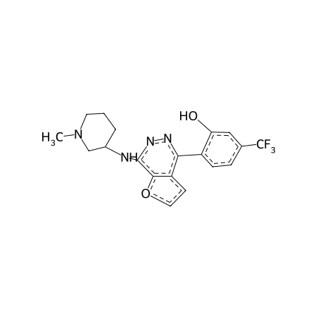 CN1CCCC(Nc2nnc(-c3ccc(C(F)(F)F)cc3O)c3ccoc23)C1